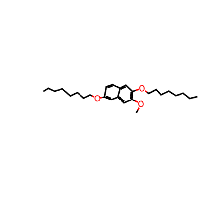 CCCCCCCCOc1ccc2cc(OCCCCCCCC)c(OC)cc2c1